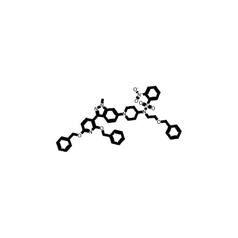 Cn1nc(-c2ccc(OCc3ccccc3)nc2OCc2ccccc2)c2ccc(N3CCC(N(CCOCc4ccccc4)S(=O)(=O)c4ccccc4[N+](=O)[O-])CC3)cc21